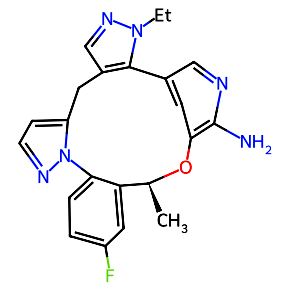 CCn1ncc2c1-c1cnc(N)c(c1)O[C@@H](C)c1cc(F)ccc1-n1nccc1C2